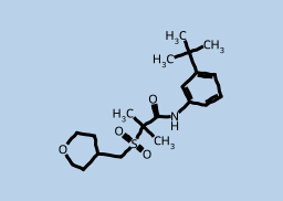 CC(C)(C)c1cccc(NC(=O)C(C)(C)S(=O)(=O)CC2CCOCC2)c1